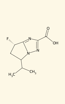 CC(C)C1C[C@H](F)c2nc(C(=O)O)nn21